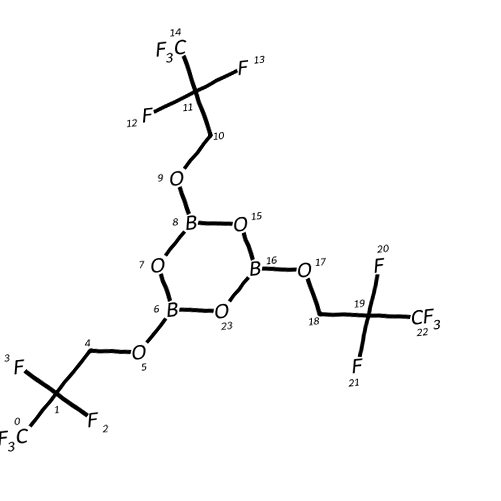 FC(F)(F)C(F)(F)COB1OB(OCC(F)(F)C(F)(F)F)OB(OCC(F)(F)C(F)(F)F)O1